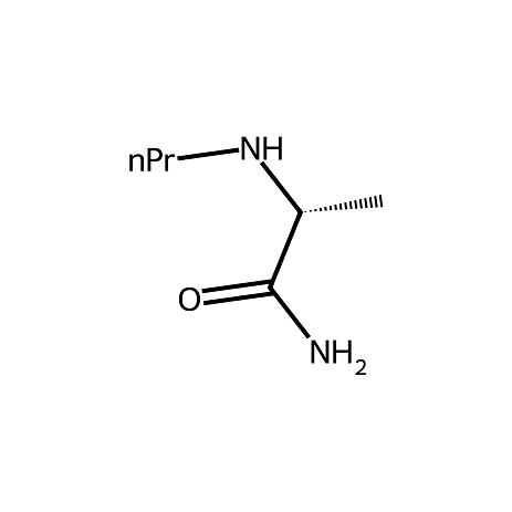 CCCN[C@H](C)C(N)=O